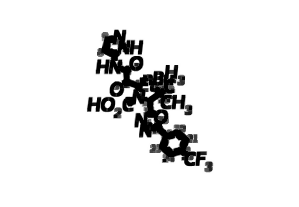 CCCC[C@@H](C(=O)C(=O)Nc1ccn[nH]1)N(C(=O)O)[C@H](c1nnc(-c2ccc(C(F)(F)F)cc2)o1)C(C)(C)CC